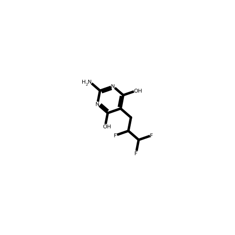 Nc1nc(O)c(CC(F)C(F)F)c(O)n1